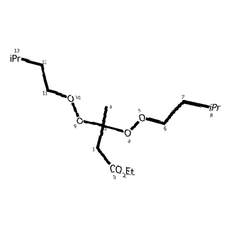 CCOC(=O)CC(C)(OOCCC(C)C)OOCCC(C)C